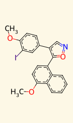 COc1ccc(-c2cnoc2-c2ccc(OC)c3ccccc23)cc1I